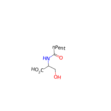 CCCCCC(=O)NC(CO)C(=O)O